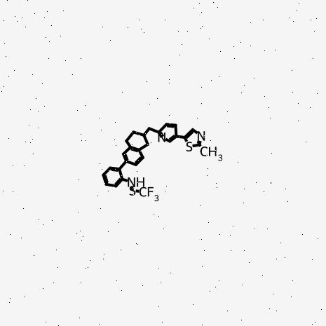 Cc1ncc(-c2ccc(CC3CCc4cc(-c5ccccc5NSC(F)(F)F)ccc4C3)nc2)s1